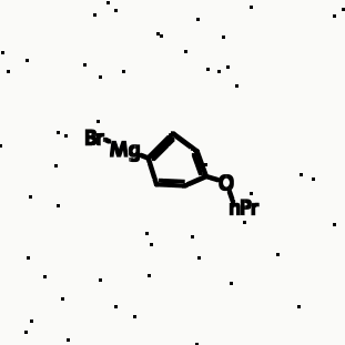 CCCOc1cc[c]([Mg][Br])cc1